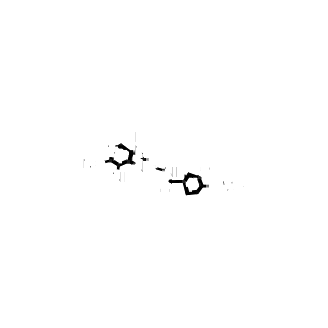 COc1ccc(C(=O)NCOc2nc3c(N)c(C#N)ncc3[nH]2)cc1O